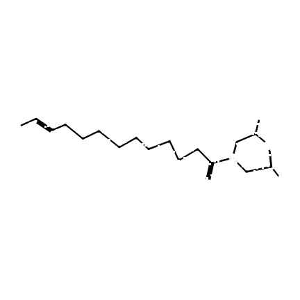 CC=CCCCCCCCCCC(=O)N1CC(C)OC(C)C1